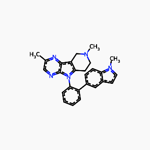 Cc1cnc2c(n1)c1c(n2-c2ccccc2-c2ccc3c(ccn3C)c2)CCN(C)C1